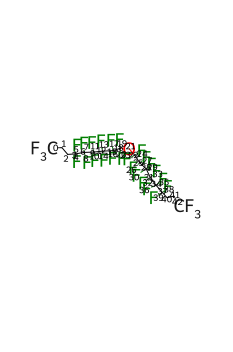 FC(F)(F)CCC(F)(F)C(F)(F)C(F)(F)C(F)(F)C(F)(F)C(F)(F)OC(F)(F)C(F)(F)C(F)(F)C(F)(F)C(F)(F)C(F)(F)CCC(F)(F)F